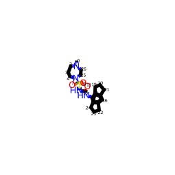 CN1CCCN(S(=O)(=O)NC(=O)Nc2c3c(cc4c2CCC4)CCC3)CC1